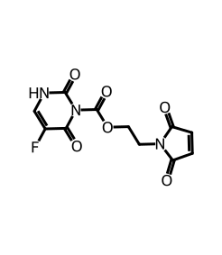 O=C1C=CC(=O)N1CCOC(=O)n1c(=O)[nH]cc(F)c1=O